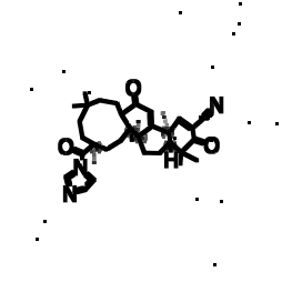 CC1(C)CCC2C(=O)C=C3[C@@]4(C)C=C(C#N)C(=O)C(C)(C)[C@@H]4CC[C@@]3(C)[C@]2(C)CC[C@@](C)(C(=O)n2ccnc2)CC1